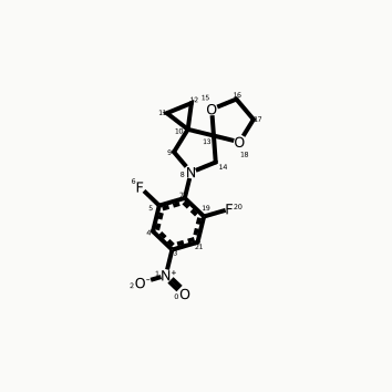 O=[N+]([O-])c1cc(F)c(N2CC3(CC3)C3(C2)OCCO3)c(F)c1